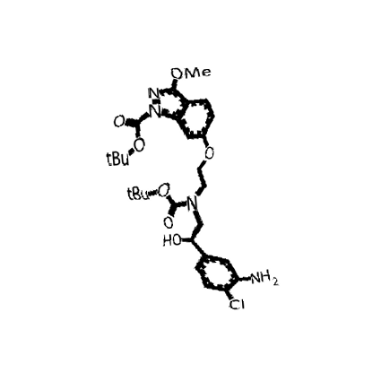 COc1nn(C(=O)OC(C)(C)C)c2cc(OCCN(CC(O)c3ccc(Cl)c(N)c3)C(=O)OC(C)(C)C)ccc12